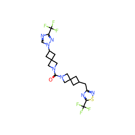 O=C(N1CC2(CC(Cc3nsc(C(F)(F)F)n3)C2)C1)N1CC2(CC(n3cnc(C(F)(F)F)n3)C2)C1